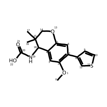 COc1cc2c(cc1-c1ccsc1)OCC(C)(C)C2NC(=O)O